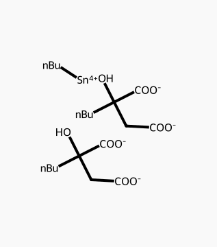 CCCCC(O)(CC(=O)[O-])C(=O)[O-].CCCCC(O)(CC(=O)[O-])C(=O)[O-].CCC[CH2][Sn+4]